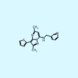 Cc1cc(NCc2cccnc2)n2nc(C)c(-c3cccs3)c2n1